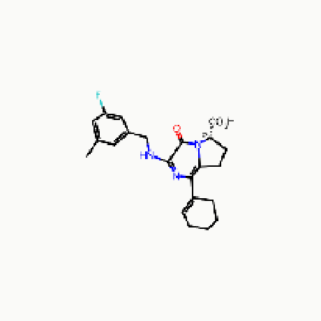 Cc1cc(F)cc(CNc2nc(C3=CCCCC3)c3n(c2=O)[C@H](C(=O)O)CC3)c1